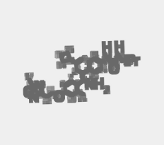 C=C(C/C(=C(/N)c1ccc(OCCc2noc(C)n2)cc1C)c1ccc(NC(=O)NC(C)C)cc1)C1CCC1